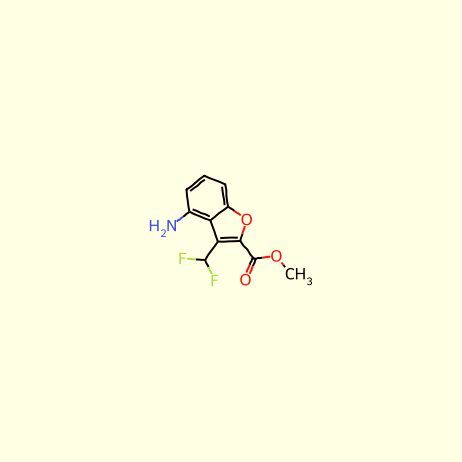 COC(=O)c1oc2cccc(N)c2c1C(F)F